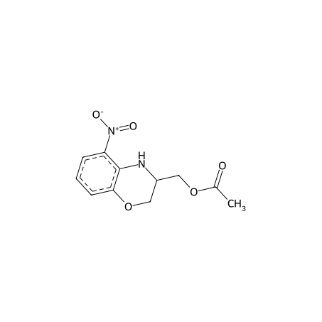 CC(=O)OCC1COc2cccc([N+](=O)[O-])c2N1